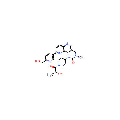 C[C@@H](O)C(=O)N1CCC(N2C(=O)N(C)Cc3cnc4ccc(-c5ccc(CO)nc5)nc4c32)CC1